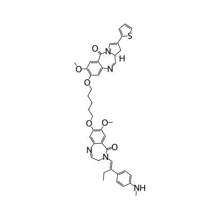 CC/C(=C\N1CC=Nc2cc(OCCCCCOc3cc4c(cc3OC)C(=O)N3C=C(c5cccs5)C[C@H]3C=N4)c(OC)cc2C1=O)c1ccc(NC)cc1